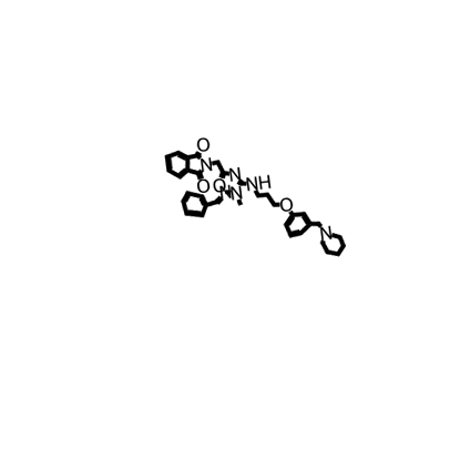 CN(N=Cc1ccccc1)C(=NC(=O)CN1C(=O)c2ccccc2C1=O)NCCCOc1cccc(CN2CCCCC2)c1